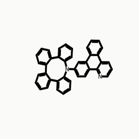 c1ccc2c(c1)c1cc(-n3c4ccccc4c4ccccc4c4ccccc4c4ccccc43)ccc1c1ncccc21